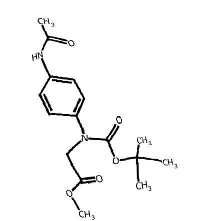 COC(=O)CN(C(=O)OC(C)(C)C)c1ccc(NC(C)=O)cc1